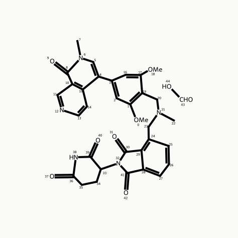 COc1cc(-c2cn(C)c(=O)c3cnccc23)cc(OC)c1CN(C)Cc1cccc2c1C(=O)N(C1CCC(=O)NC1=O)C2=O.O=CO